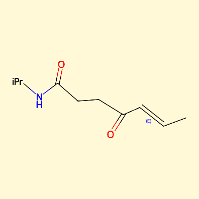 C/C=C/C(=O)CCC(=O)NC(C)C